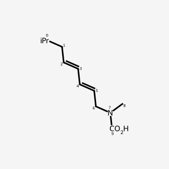 CC(C)CC=CC=CCN(C)C(=O)O